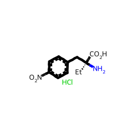 CC[C@](N)(Cc1ccc([N+](=O)[O-])cc1)C(=O)O.Cl